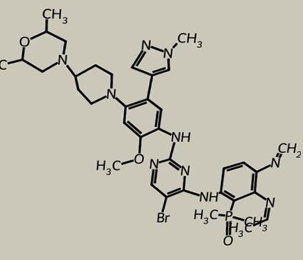 C=Nc1ccc(Nc2nc(Nc3cc(-c4cnn(C)c4)c(N4CCC(N5CC(C)OC(C)C5)CC4)cc3OC)ncc2Br)c(P(C)(C)=O)c1/N=C\C